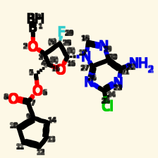 B=BOC1[C@@H](COC(=O)c2ccccc2)O[C@@H](n2cnc3c(N)nc(Cl)nc32)[C@H]1F